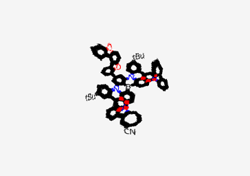 CC(C)(C)c1ccc(N2c3cc(-n4c5c(c6ccccc64)/C=C(/C#N)C/C=C\C5)ccc3B3c4ccc(-n5c6ccccc6c6ccccc65)cc4N(c4ccc(C(C)(C)C)cc4-c4ccccc4)c4cc(-c5cccc6c5oc5ccc7oc8ccccc8c7c56)cc2c43)c(-c2ccccc2)c1